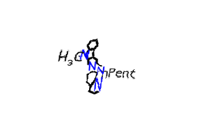 CCCCCN(Cc1cc2c3ccccc3n(C)c2cn1)[C@H]1CCCc2cccnc21